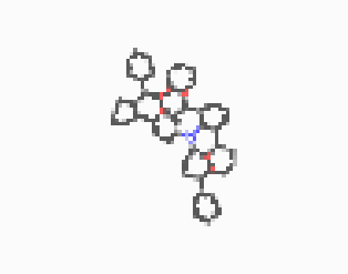 c1ccc(-c2ccc(N(c3ccc4c(c3)c(-c3ccccc3)c(-c3ccccc3)c3ccccc34)c3c(-c4ccccc4)cccc3-c3ccccc3)cc2)cc1